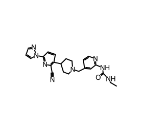 CCNC(=O)Nc1cc(CN2CCC(c3ccc(-n4cccn4)nc3C#N)CC2)ccn1